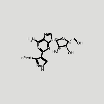 CCCCCc1n[nH]cc1-c1nc(N)c2ncn([C@@H]3O[C@H](CO)[C@@H](O)[C@H]3O)c2n1